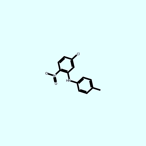 Cc1ccc(Nc2cc(Cl)ccc2[N+](=O)[O-])cc1